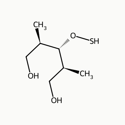 C[C@H](CO)[C@H](OS)[C@@H](C)CO